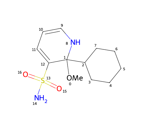 COC1(C2CCCCC2)NC=CC=C1S(N)(=O)=O